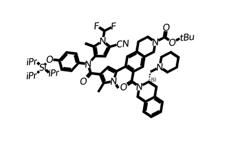 Cc1c(C(=O)N(c2ccc(O[Si](C(C)C)(C(C)C)C(C)C)cc2)c2cc(C#N)n(C(F)F)c2C)cc(-c2cc3c(cc2C(=O)N2Cc4ccccc4C[C@H]2CN2CCCCC2)CN(C(=O)OC(C)(C)C)CC3)n1C